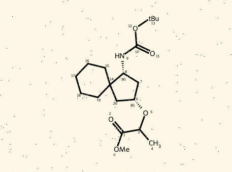 COC(=O)C(C)O[C@H]1C[C@@H](NC(=O)OC(C)(C)C)C2(CCCCC2)C1